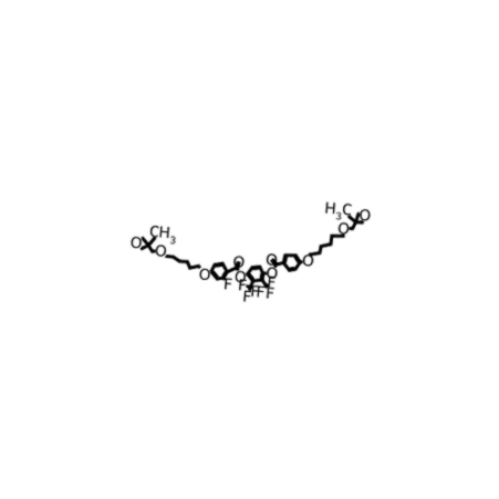 CCC1(COCCCCCCOc2ccc(C(=O)Oc3ccc(OC(=O)c4ccc(OCCCCCCOCC5(CC)COC5)cc4F)c(C(F)(F)F)c3C(F)(F)F)cc2)COC1